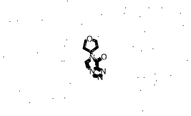 O=c1c2nncn2ccn1C1CCOCC1